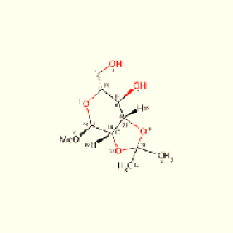 CO[C@H]1O[C@H](CO)[C@@H](O)[C@@H]2OC(C)(C)O[C@H]12